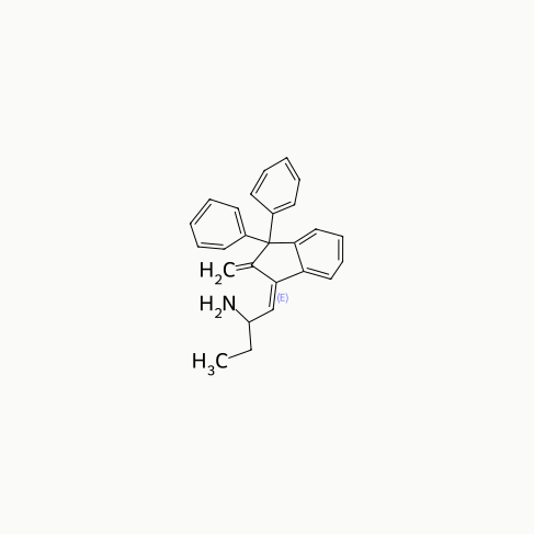 C=C1/C(=C\C(N)CC)c2ccccc2C1(c1ccccc1)c1ccccc1